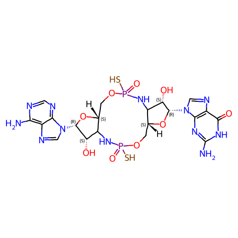 Nc1nc2c(ncn2[C@@H]2O[C@@H]3COP(=O)(S)NC4[C@@H](COP(=O)(S)NC3[C@@H]2O)O[C@@H](n2cnc3c(N)ncnc32)[C@H]4O)c(=O)[nH]1